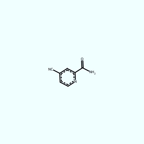 N#Cc1[c]c(C(N)=O)ncc1